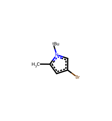 Cc1cc(Br)cn1C(C)(C)C